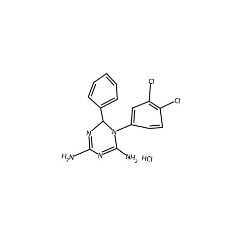 Cl.NC1=NC(c2ccccc2)N(c2ccc(Cl)c(Cl)c2)C(N)=N1